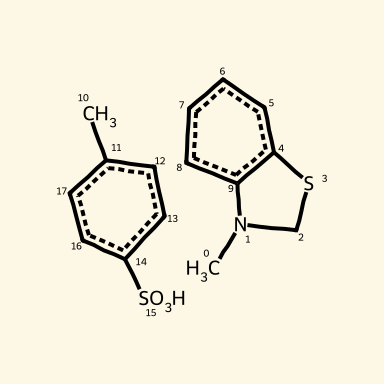 CN1CSc2ccccc21.Cc1ccc(S(=O)(=O)O)cc1